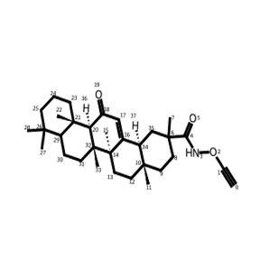 C#CONC(=O)C1(C)CC[C@]2(C)CC[C@]3(C)C(=CC(=O)[C@@H]4[C@@]5(C)CCCC(C)(C)C5CC[C@]43C)[C@H]2C1